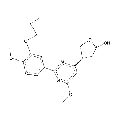 CCCOc1cc(-c2nc(OC)cc([C@H]3COB(O)C3)n2)ccc1OC